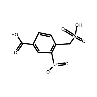 O=C(O)c1ccc(CS(=O)(=O)O)c([N+](=O)[O-])c1